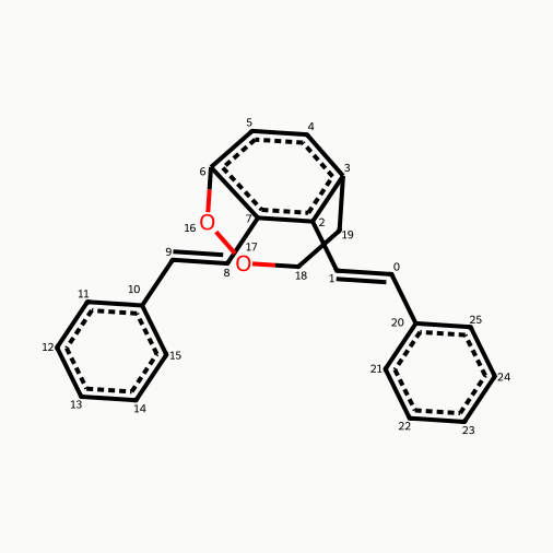 C(=Cc1c2ccc(c1C=Cc1ccccc1)OOCC2)c1ccccc1